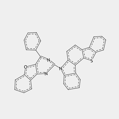 c1ccc(-c2nc(-n3c4ccccc4c4c5sc6ccccc6c5ccc43)nc3c2oc2ccccc23)cc1